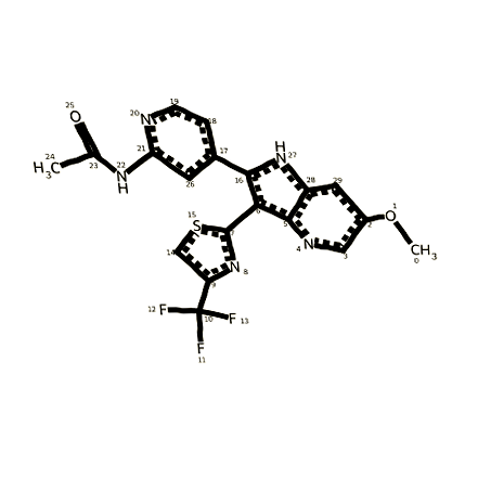 COc1cnc2c(-c3nc(C(F)(F)F)cs3)c(-c3ccnc(NC(C)=O)c3)[nH]c2c1